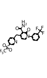 CS(=O)(=O)c1ccc(Cc2ccn(-c3cccc(C(F)(F)F)c3)c(=O)c2C(N)=O)nc1